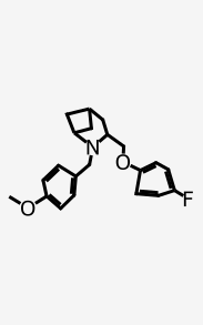 COc1ccc(CN2C(COc3ccc(F)cc3)CC3CC2C3)cc1